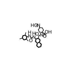 Cc1cc(C)c(NC(=O)Nc2cc3ccccc3cc2C(=O)NC2(C(=O)O)CCC(=NO)CC2)c(C)c1